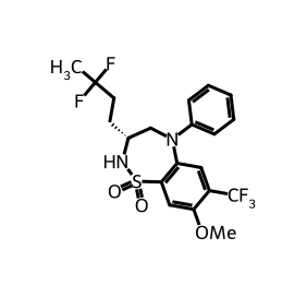 COc1cc2c(cc1C(F)(F)F)N(c1ccccc1)C[C@@H](CCC(C)(F)F)NS2(=O)=O